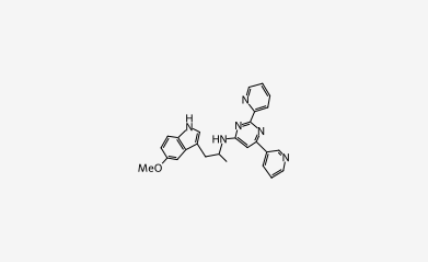 COc1ccc2[nH]cc(CC(C)Nc3cc(-c4cccnc4)nc(-c4ccccn4)n3)c2c1